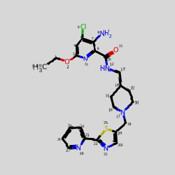 CCOc1cc(Cl)c(N)c(C(=O)NCC2CCN(Cc3cnc(-c4ccccn4)s3)CC2)n1